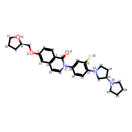 O=c1c2ccc(OC[C@H]3CCCO3)cc2ccn1-c1ccc(N2CC[C@@H](N3CCCC3)C2)c(F)c1